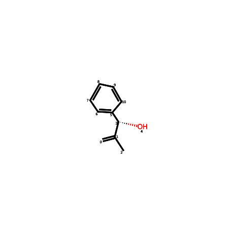 C=C(C)[C@@H](O)c1ccccc1